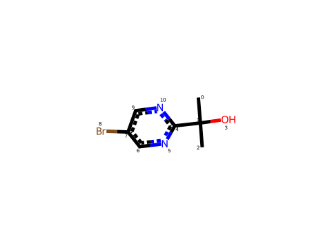 CC(C)(O)c1ncc(Br)cn1